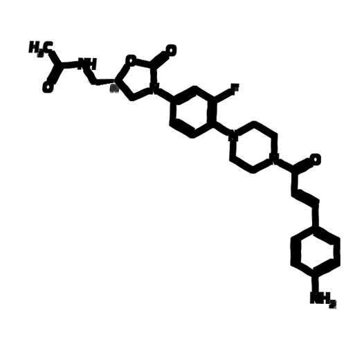 CC(=O)NC[C@H]1CN(c2ccc(N3CCN(C(=O)C=Cc4ccc(N)cc4)CC3)c(F)c2)C(=O)O1